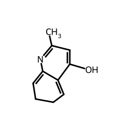 Cc1cc(O)c2c(n1)=CCCC=2